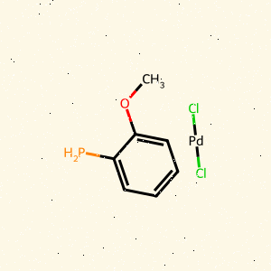 COc1ccccc1P.[Cl][Pd][Cl]